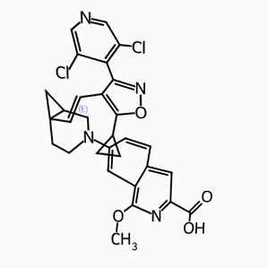 COc1nc(C(=O)O)cc2ccc(N3CCC4(/C=C/c5c(-c6c(Cl)cncc6Cl)noc5C5CC5)CC4C3)cc12